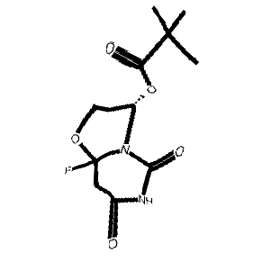 CC(C)(C)C(=O)O[C@H]1COC2(F)CC(=O)NC(=O)N12